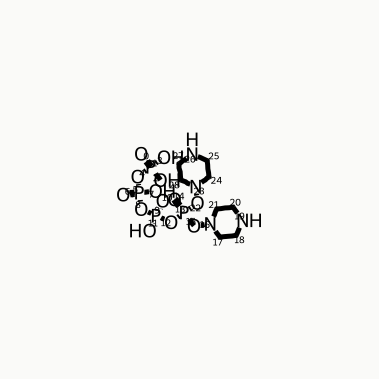 O=P(O)(O)OP(=O)(O)OP(=O)(O)OP(=O)(ON1CCNCC1)ON1CCNCC1